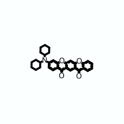 O=c1c2ccccc2oc2cc3oc4cc(N(C5CCCCC5)C5CCCCC5)ccc4c(=O)c3cc12